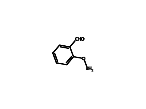 BOc1ccccc1[C]=O